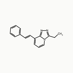 CCc1nnc2c(/C=C/c3ccccc3)cccn12